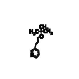 CC(C)(C)OCCCc1cccnc1